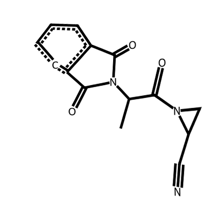 CC(C(=O)N1CC1C#N)N1C(=O)c2ccccc2C1=O